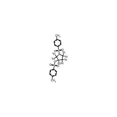 [2H]C1([2H])N(S(=O)(=O)c2ccc(C)cc2)C([2H])([2H])[C@@]([2H])(OS(=O)(=O)c2ccc(C)cc2)C1([2H])[2H]